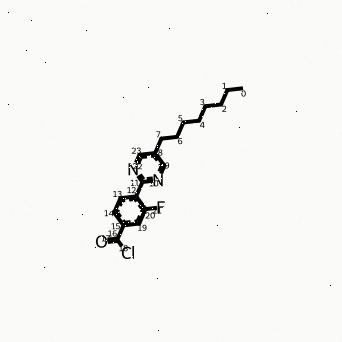 CCCCCCCCc1cnc(-c2ccc(C(=O)Cl)cc2F)nc1